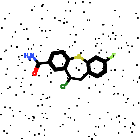 NC(=O)c1ccc2c(c1)C(Cl)Cc1ccc(F)cc1S2